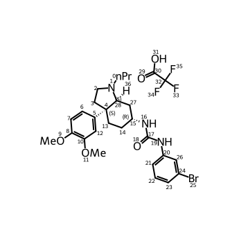 CCCN1CC[C@]2(c3ccc(OC)c(OC)c3)CC[C@@H](NC(=O)Nc3cccc(Br)c3)C[C@H]12.O=C(O)C(F)(F)F